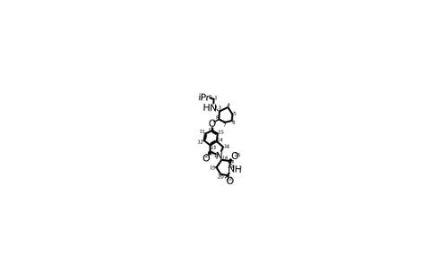 CC(C)CN[C@@H]1CCCC[C@H]1Oc1ccc2c(c1)CN(C1CCC(=O)NC1=O)C2=O